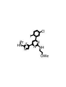 COCCNc1nc(-c2cnc(NC(C)C)s2)cc(-c2cc(Cl)ccc2I)n1